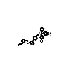 CCCc1cccc(COc2cccc(-c3ccc(CCOC(c4ccccc4)(c4ccc(OC)cc4)c4ccc(OC)cc4)cc3)c2)c1